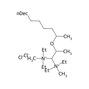 CCCCCCCCCCCCCCC(C)OC(C)C([N+](C)(CC)CC)[N+](C)(CC)CC.[Cl-].[Cl-]